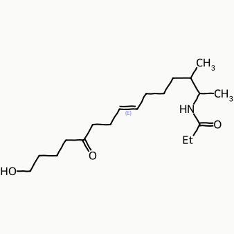 CCC(=O)NC(C)C(C)CCC/C=C/CCC(=O)CCCCO